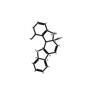 CC1CC=CC2=C1C1c3oc4ccccc4c3C=C[C@H]1N2